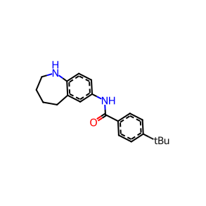 CC(C)(C)c1ccc(C(=O)Nc2ccc3c(c2)CCCCN3)cc1